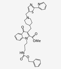 COC(=O)c1c(CC2CCN(Cc3cnc(-c4ccccn4)s3)CC2)c(=O)c2ccccc2n1CCCNC(=O)OCc1ccccc1